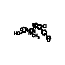 Cc1nc(N2CCOC(CO)C2)cc(-n2ncc3cc(Cl)c(C4CCN(C5CCOC5)CC4)cc32)n1